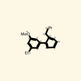 CCc1cc(OC)cc(-c2ccccc2CC(C)C)c1